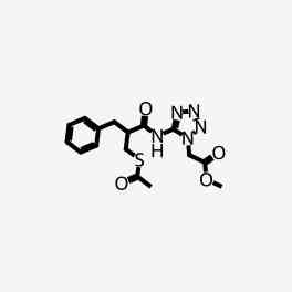 COC(=O)Cn1nnnc1NC(=O)C(CSC(C)=O)Cc1ccccc1